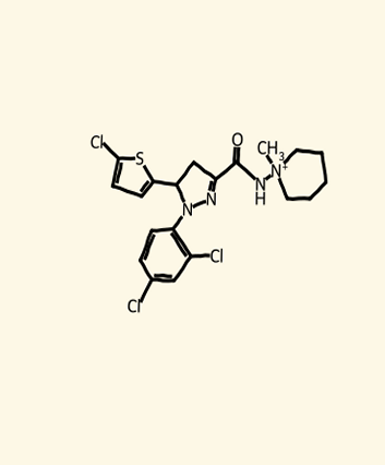 C[N+]1(NC(=O)C2=NN(c3ccc(Cl)cc3Cl)C(c3ccc(Cl)s3)C2)CCCCC1